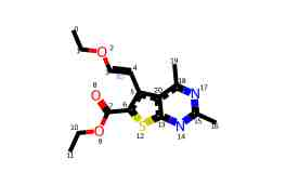 CCO/C=C/c1c(C(=O)OCC)sc2nc(C)nc(C)c12